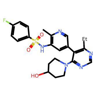 CCc1ncnc(N2CCC(O)CC2)c1-c1cnc(C)c(NS(=O)(=O)c2ccc(F)cc2)c1